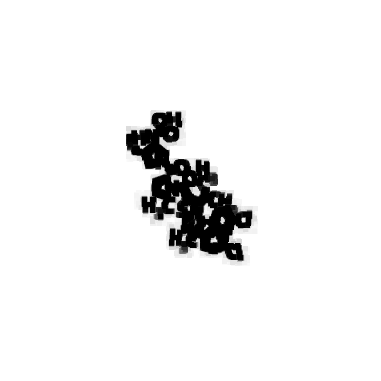 CC(C)C1=C(C(=O)N2[C@H](C)CC[C@@H]2C(=O)N2C[C@@H](CF)[C@@H](NC(=O)O)C2)SC2=N[C@@](C)(c3ccc(Cl)cc3)[C@@H](c3ccc(Cl)cc3)N21